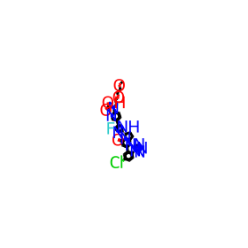 COCCOCCN(C(=O)O)c1ccc(-c2[nH]c([C@@H]3CCc4nc(-c5cc(Cl)ccc5-n5cnnn5)cc(=O)n43)nc2F)cn1